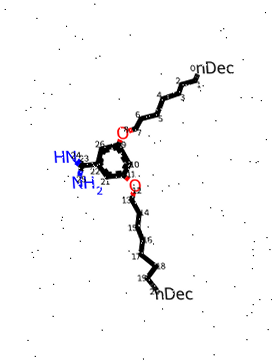 CCCCCCCCCCCCCCCCCOc1cc(OCCCCCCCCCCCCCCCCC)cc(C(=N)N)c1